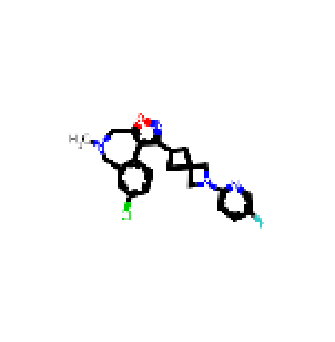 CN1Cc2cc(Cl)ccc2-c2c(C3CC4(C3)CN(c3ccc(F)cn3)C4)noc2C1